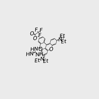 CCN(CC)c1ccc2c(-c3ccccc3C(=O)NC(=N)N)c3ccc(=[N+](CC)CC)cc-3oc2c1.O=C([O-])C(F)(F)F